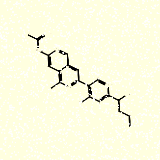 CCCC(O)c1cc(C)c(-c2cc3cnc(NC(C)=O)cc3c(C)n2)cn1